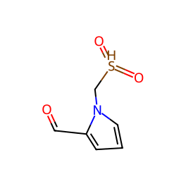 O=Cc1cccn1C[SH](=O)=O